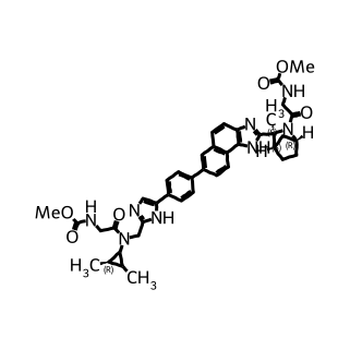 COC(=O)NCC(=O)N(Cc1ncc(-c2ccc(-c3ccc4c(ccc5nc([C@]6(C)[C@H]7CC[C@H](C7)N6C(=O)CNC(=O)OC)[nH]c54)c3)cc2)[nH]1)C1C(C)[C@H]1C